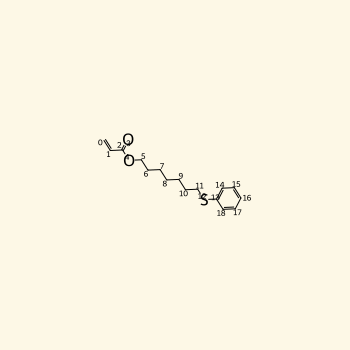 C=CC(=O)OCCCCCCCSc1ccccc1